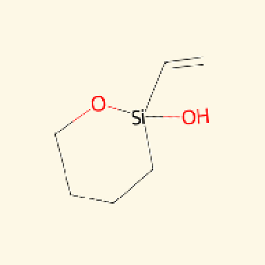 C=C[Si]1(O)CCCCO1